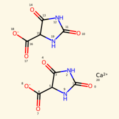 O=C1NC(=O)C(C(=O)[O-])N1.O=C1NC(=O)C(C(=O)[O-])N1.[Ca+2]